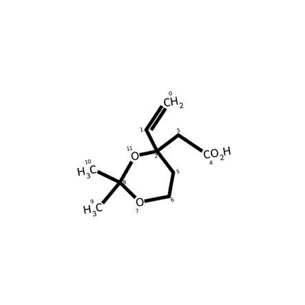 C=CC1(CC(=O)O)CCOC(C)(C)O1